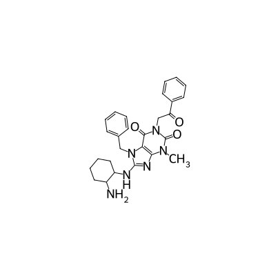 Cn1c(=O)n(CC(=O)c2ccccc2)c(=O)c2c1nc(NC1CCCCC1N)n2Cc1ccccc1